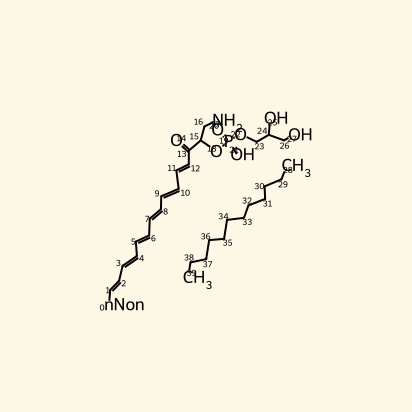 CCCCCCCCCC=CC=CC=CC=CC=CC=CC(=O)C(CN)OP(=O)(O)OCC(O)CO.CCCCCCCCCCCC